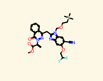 C=C(C(=O)OC)n1nc(Cc2nc3cc(OCC(F)F)c(C#N)cc3n2COCC[Si](C)(C)C)c2ccccc2c1=O